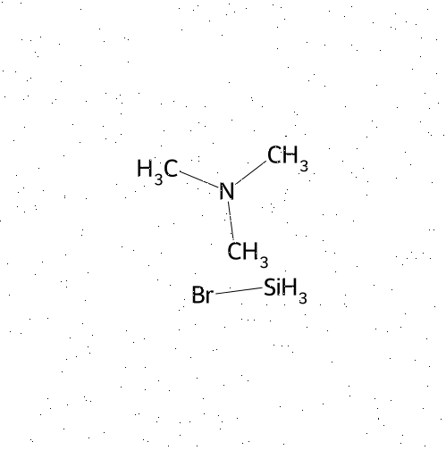 CN(C)C.[SiH3]Br